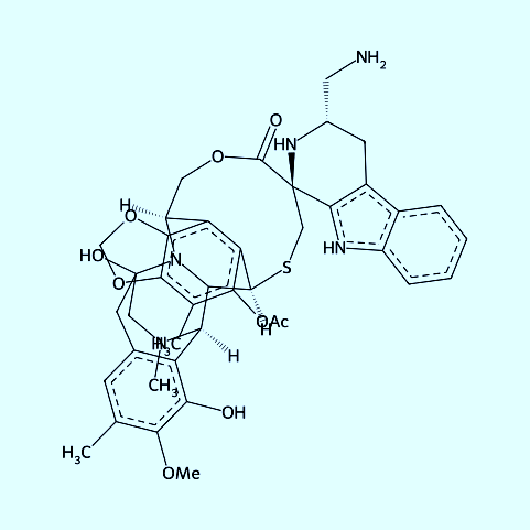 COc1c(C)cc2c(c1O)[C@@H]1C3[C@@H]4SC[C@]5(N[C@H](CN)Cc6c5[nH]c5ccccc65)C(=O)OC[C@@H](c5c6c(c(C)c(OC(C)=O)c54)OCO6)N3C(O)(C2)CN1C